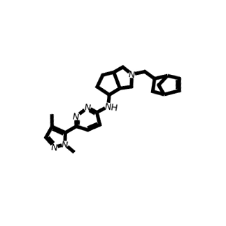 Cc1cnn(C)c1-c1ccc(NC2CCC3CN(CC4CC5C=CC4C5)CC32)nn1